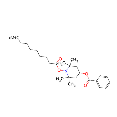 CCCCCCCCCCCCCCCCCC(=O)ON1C(C)(C)CC(OC(=O)c2ccccc2)CC1(C)C